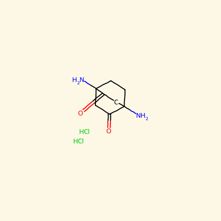 Cl.Cl.NC12CCC(N)(CC1=O)C(=O)C2